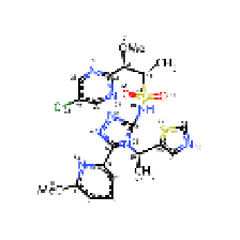 COc1cccc(-c2nnc(NS(=O)(=O)[C@@H](C)[C@H](OC)c3ncc(Cl)cn3)n2[C@H](C)c2cncs2)n1